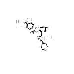 Cn1c(-c2cc(Cl)ccc2NS(=O)(=O)c2ccc(C(C)(C)C)cc2)nnc1C1CCOCC1